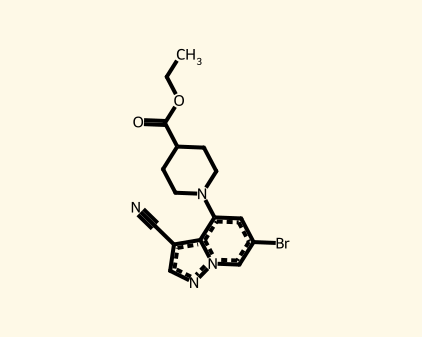 CCOC(=O)C1CCN(c2cc(Br)cn3ncc(C#N)c23)CC1